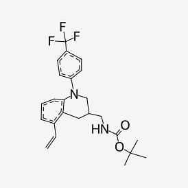 C=Cc1cccc2c1CC(CNC(=O)OC(C)(C)C)CN2c1ccc(C(F)(F)F)cc1